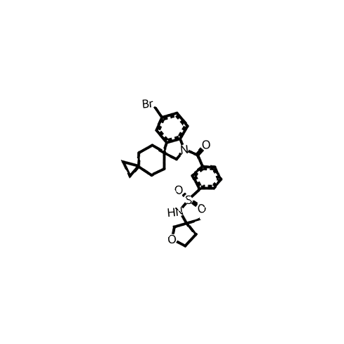 CC1(NS(=O)(=O)c2cccc(C(=O)N3CC4(CCC5(CC5)CC4)c4cc(Br)ccc43)c2)CCOC1